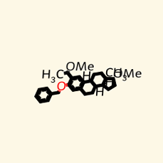 COC(C)c1cc2c(cc1OCc1ccccc1)CC[C@@H]1[C@@H]2CC[C@]2(C)[C@@H](OC)CC[C@@H]12